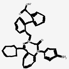 COC(=O)c1ccccc1-c1ccccc1CN1N=C(C2CCCCC2)c2ccccc2N(c2ccc(N)cc2)C1=O